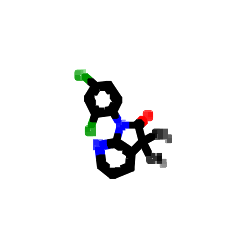 CC1(C)C(=O)N(c2ccc(Cl)cc2Cl)c2ncccc21